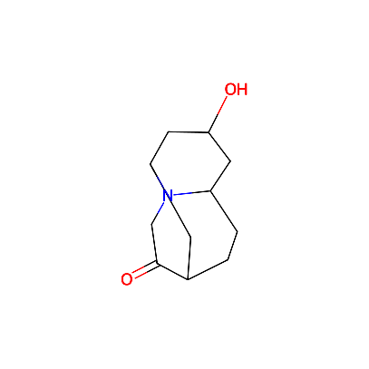 O=C1CN2C3CCC1CC2CC(O)C3